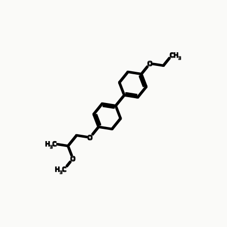 CCOC1=CC=C(C2=CC=C(OCC(C)OC)CC2)CC1